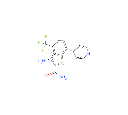 NC(=O)c1sc2c(-c3ccncc3)ccc(C(F)(F)F)c2c1N